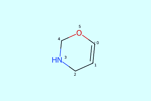 [C]1=CCNCO1